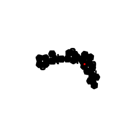 c1ccc(-c2nc(-c3ccc(-c4ccc5c(c4)c4cccc6oc7ccc8c(c7c64)c4c5cccc4n8-c4nc(-c5cccc6c5oc5ccccc56)c5cc(-c6ccc7oc8ccc9c%10c8c7c6c6ccccc6c6cccc(c6%10)n9-c6nc(-c7cccc8c7sc7ccccc78)c7ccccc7n6)ccc5n4)cc3)nc3ccc(-n4c5cccc6c7ccccc7c7cccc8oc9ccc4c(c9c87)c65)cc23)cc1